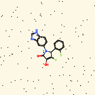 O=C1C(O)=C(F)C(c2ccccc2F)N1c1ccc2[nH]cnc2c1